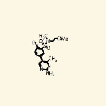 COCCN(C)S(=O)(=O)c1cc(-c2cnc(N)nc2C)ccc1Br